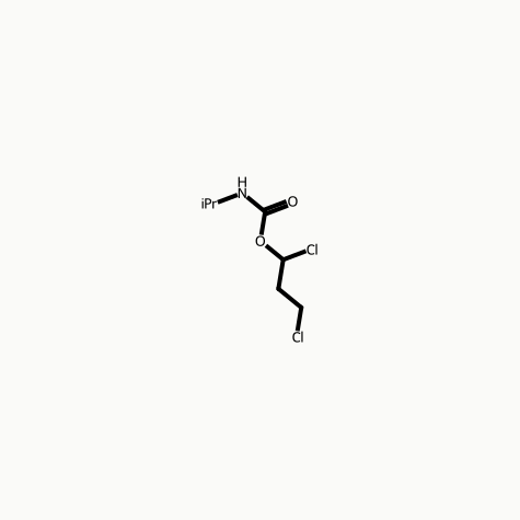 CC(C)NC(=O)OC(Cl)CCCl